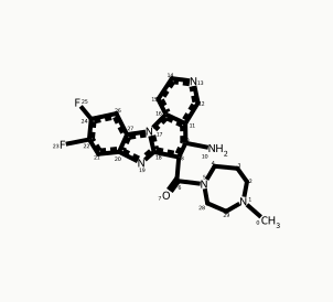 CN1CCCN(C(=O)c2c(N)c3cnccc3n3c2nc2cc(F)c(F)cc23)CC1